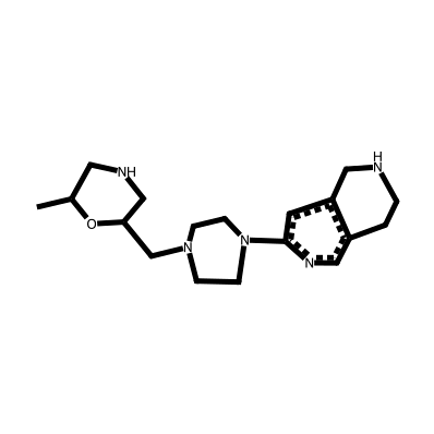 CC1CNCC(CN2CCN(c3cc4c(cn3)CCNC4)CC2)O1